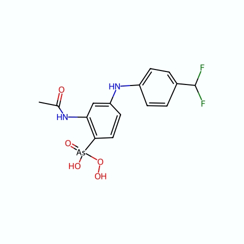 CC(=O)Nc1cc(Nc2ccc(C(F)F)cc2)ccc1[As](=O)(O)OO